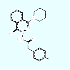 O=C(Cc1ccc(Cl)cc1)Nn1nc(N2CCCCC2)c2ccccc2c1=O